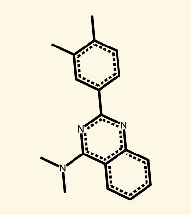 Cc1ccc(-c2nc(N(C)C)c3ccccc3n2)cc1C